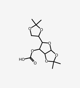 CC1(C)OCC(C2OC3OC(C)(C)OC3C2OC(=O)O)O1